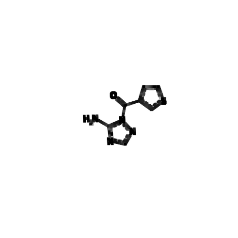 Nc1ncnn1C(=O)c1ccsc1